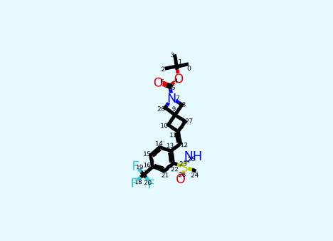 CC(C)(C)OC(=O)N1CC2(CC(=Cc3ccc(C(F)(F)F)cc3S(C)(=N)=O)C2)C1